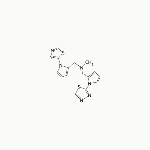 CN(Cc1cccn1-c1nncs1)Cc1cccn1-c1nncs1